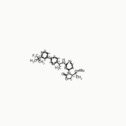 C[C@H](Nc1nccc(N2C(=O)OC[C@@H]2[C@@H](C)OC(C)(C)C)n1)c1ccc(-c2ccnc(C(C)(C)C(F)(F)F)c2)cn1